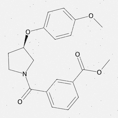 COC(=O)c1cccc(C(=O)N2CC[C@@H](Oc3ccc(OC)cc3)C2)c1